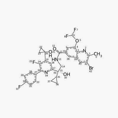 Cc1nc2c(OC(F)F)cc(C(=O)NC[C@](O)(c3cc(C4(O)CC4)c(F)c(-c4ccc(F)cc4)n3)C3CC3)cc2cc1Br